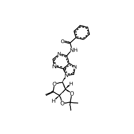 C=C1O[C@@H](n2cnc3c(NC(=O)c4ccccc4)ncnc32)[C@@H]2OC(C)(C)O[C@H]12